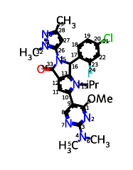 COc1nc(N(C)C)ncc1-c1cc2c(n1C(C)C)C(c1ccc(Cl)cc1F)N(c1cc(C)nn1C)C2=O